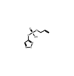 C=CCOP(=O)(O)Oc1cnsn1